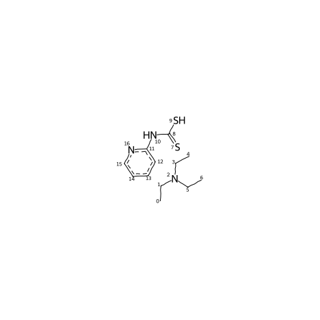 CCN(CC)CC.S=C(S)Nc1ccccn1